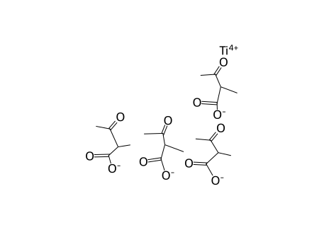 CC(=O)C(C)C(=O)[O-].CC(=O)C(C)C(=O)[O-].CC(=O)C(C)C(=O)[O-].CC(=O)C(C)C(=O)[O-].[Ti+4]